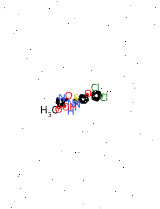 COc1ccnc(C(=O)Nc2nc3ccc(Oc4ccc(Cl)cc4Cl)cc3s2)c1O